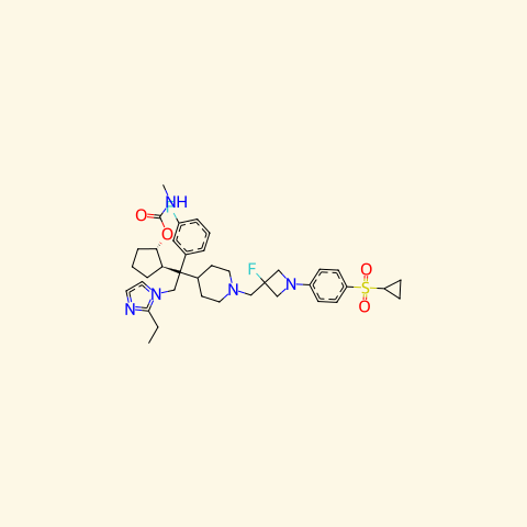 CCc1nccn1CC(c1cccc(F)c1)(C1CCN(CC2(F)CN(c3ccc(S(=O)(=O)C4CC4)cc3)C2)CC1)[C@H]1CCC[C@@H]1OC(=O)NC